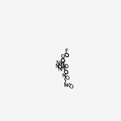 CN(C(=O)C=CCN(C)C1CCOC1)c1cccc(-n2c(=O)n(-c3ccc(Oc4cccc(F)c4)cc3)c3c(N)ncnc32)c1